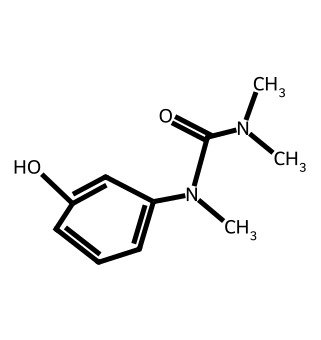 CN(C)C(=O)N(C)c1cccc(O)c1